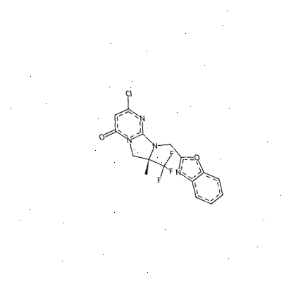 C[C@@]1(C(F)(F)F)Cn2c(nc(Cl)cc2=O)N1Cc1nc2ccccc2o1